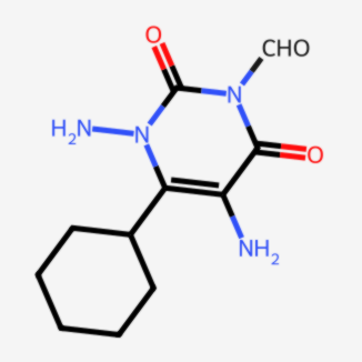 Nc1c(C2CCCCC2)n(N)c(=O)n(C=O)c1=O